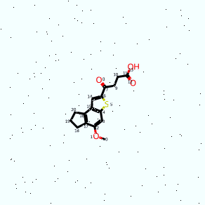 COc1cc2sc(C(=O)CCC(=O)O)cc2c2c1CCC2